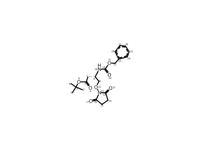 CC(C)(C)OC(=O)C[C@@H](CON1C(=O)CCC1=O)NC(=O)OCc1ccccc1